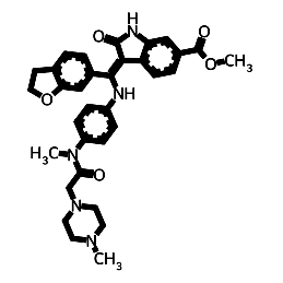 COC(=O)c1ccc2c(c1)NC(=O)C2=C(Nc1ccc(N(C)C(=O)CN2CCN(C)CC2)cc1)c1ccc2c(c1)OCC2